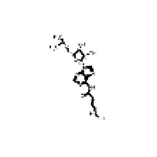 CNC/C=C/C(=O)Nc1ncnc2c1ncn2[C@@H]1O[C@H](COC(C)C)[C@@H](O)[C@H]1O